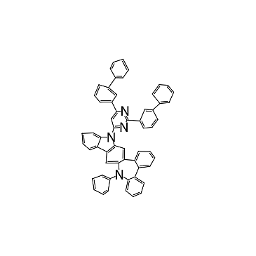 c1ccc(-c2cccc(-c3cc(-n4c5ccccc5c5cc6c(cc54)-c4ccccc4-c4ccccc4N6c4ccccc4)nc(-c4cccc(-c5ccccc5)c4)n3)c2)cc1